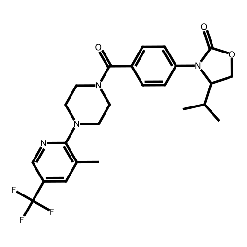 Cc1cc(C(F)(F)F)cnc1N1CCN(C(=O)c2ccc(N3C(=O)OCC3C(C)C)cc2)CC1